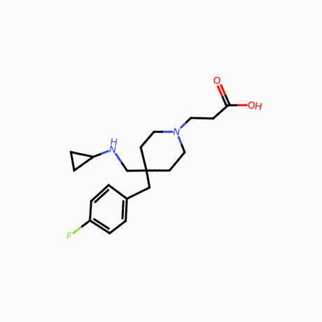 O=C(O)CCN1CCC(CNC2CC2)(Cc2ccc(F)cc2)CC1